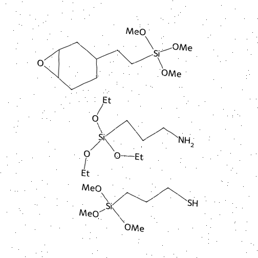 CCO[Si](CCCN)(OCC)OCC.CO[Si](CCC1CCC2OC2C1)(OC)OC.CO[Si](CCCS)(OC)OC